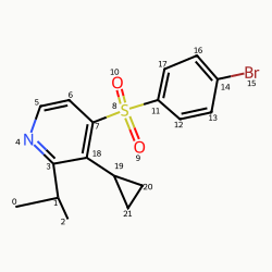 CC(C)c1nccc(S(=O)(=O)c2ccc(Br)cc2)c1C1CC1